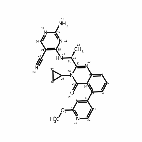 COc1cc(-c2cccc3nc([C@H](C)Nc4nc(N)ncc4C#N)n(C4CC4)c(=O)c23)ccn1